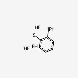 CC(C)c1ccccc1[S].F.F.F